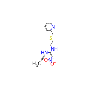 CC#CNC(=C[N+](=O)[O-])NCCSCc1ccccn1